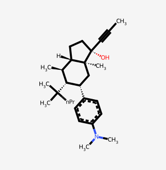 CC#C[C@]1(O)CC[C@H]2[C@H](C)[C@@H](C(C)(C)CCC)[C@@H](c3ccc(N(C)C)cc3)C[C@@]21C